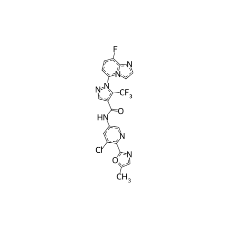 Cc1cnc(-c2ncc(NC(=O)c3cnn(-c4ccc(F)c5nccn45)c3C(F)(F)F)cc2Cl)o1